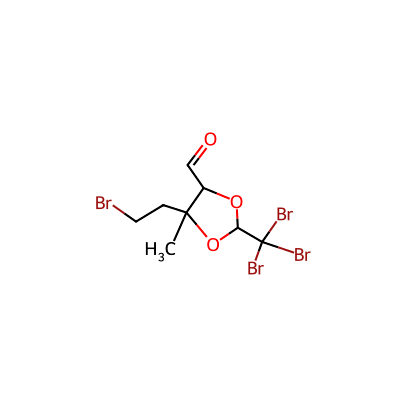 CC1(CCBr)OC(C(Br)(Br)Br)OC1C=O